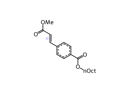 [CH2]CCCCCCCOC(=O)c1ccc(/C=C/C(=O)OC)cc1